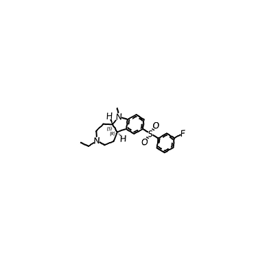 CCN1CC[C@@H]2c3cc(S(=O)(=O)c4cccc(F)c4)ccc3N(C)[C@H]2CC1